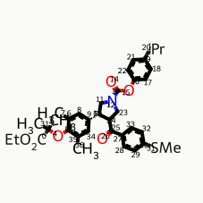 CCOC(=O)C(C)(C)Oc1c(C)cc([C@@H]2CN(C(=O)Oc3ccc(C(C)C)cc3)CC2C(=O)c2ccc(SC)cc2)cc1C